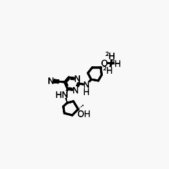 [2H]C([2H])([2H])OC1CCC(Nc2ncc(C#N)c(N[C@@H]3CCC[C@](C)(O)C3)n2)CC1